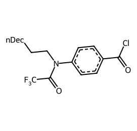 CCCCCCCCCCCCN(C(=O)C(F)(F)F)c1ccc(C(=O)Cl)cc1